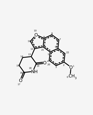 COc1ccc2c(ccc3occ(C4CCC(=O)NC4=O)c32)c1